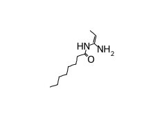 CC=C(N)NC(=O)CCCCCCC